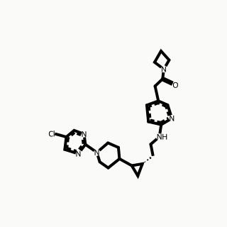 O=C(Cc1ccc(NCC[C@@H]2CC2C2CCN(c3ncc(Cl)cn3)CC2)nc1)N1CCC1